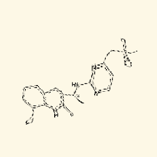 C[C@H](Nc1nccc(CS(C)(=O)=O)n1)c1cc2cccc(Cl)c2[nH]c1=O